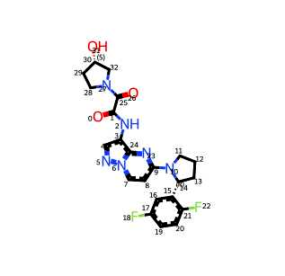 O=C(Nc1cnn2ccc(N3CCC[C@@H]3c3cc(F)ccc3F)nc12)C(=O)N1CC[C@H](O)C1